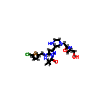 CC(C)(C)C(=O)n1nc(C2CN(Cc3nc(CO)co3)CCN2)cc1NCc1ccc(Cl)s1